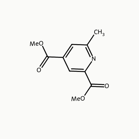 COC(=O)c1cc(C)nc(C(=O)OC)c1